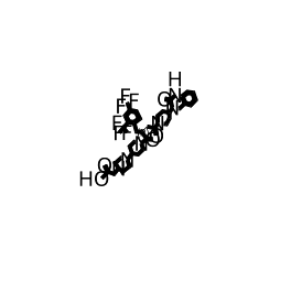 O=C(O)CN1CCN(C2CCN(C(=O)[C@@H](CC(=O)N3CCC(N4Cc5ccccc5NC4=O)CC3)Cc3ccc(C(F)(F)F)cc3C(F)(F)F)CC2)CC1